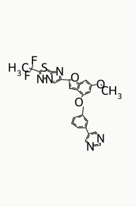 COc1cc(OCc2cccc(-c3cncnc3)c2)c2cc(-c3cn4nc(C(C)(F)F)sc4n3)oc2c1